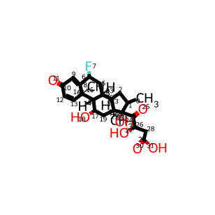 CC1C[C@H]2[C@@H]3CC(F)C4=CC(=O)C=C[C@]4(C)[C@H]3C(O)C[C@]2(C)[C@@]1(O)C(=O)C(O)CC(=O)O